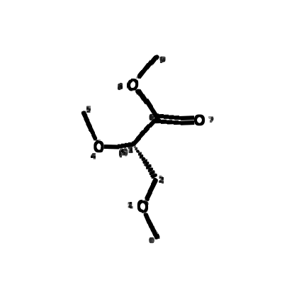 COC[C@H](OC)C(=O)OC